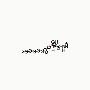 C=C(/C=C\C(=C/C)c1ccc(OCCOCCOCCOCCOCC(C)(C)C)c2ccccc12)[C@H](CC(=O)O)NC(=O)CNC(=O)CCCNc1cc(C)ccn1